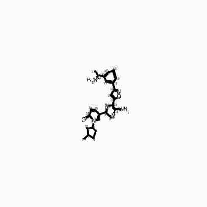 CC1CCC(n2cc(-c3cnc(N)c(-c4cc(-c5cccc(C(C)N)c5)no4)n3)ccc2=O)C1